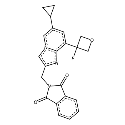 O=C1c2ccccc2C(=O)N1Cc1cn2cc(C3CC3)cc(C3(F)COC3)c2n1